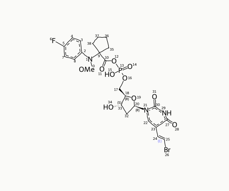 CON(c1ccc(F)cc1)C1(C(=O)OP(=O)(O)OC[C@H]2O[C@@H](n3cc(/C=C/Br)c(=O)[nH]c3=O)C[C@@H]2O)CCCC1